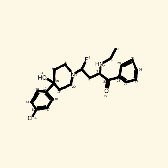 CCNC(CC(F)N1CCC(O)(c2ccc(Cl)cc2)CC1)C(=O)c1ccccc1